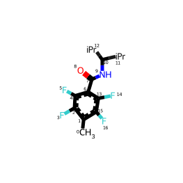 Cc1c(F)c(F)c(C(=O)NC(C(C)C)C(C)C)c(F)c1F